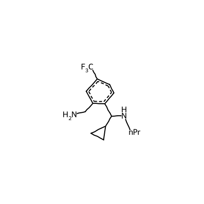 CCCNC(c1ccc(C(F)(F)F)cc1CN)C1CC1